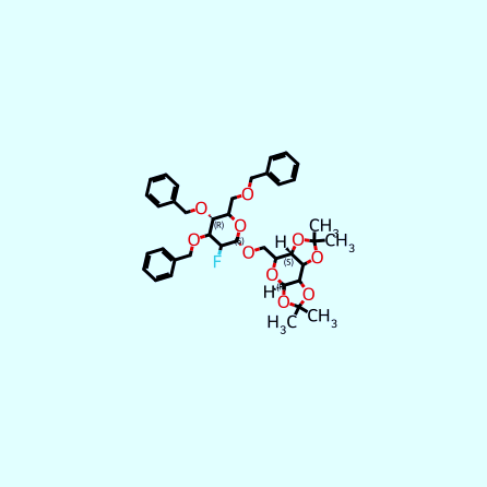 CC1(C)OC2C3OC(C)(C)O[C@H]3C(CO[C@H]3OC(COCc4ccccc4)[C@@H](OCc4ccccc4)C(OCc4ccccc4)C3F)O[C@@H]2O1